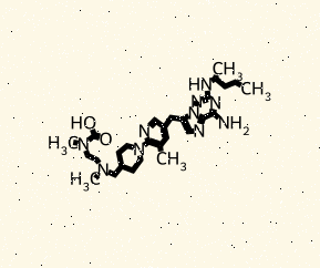 CCCC(C)Nc1nc(N)c2ncc(Cc3cnc(N4CCC(CN(C)CCN(C)C(=O)O)CC4)c(C)c3)n2n1